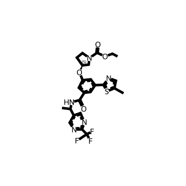 CCOC(=O)N1CC[C@H](Oc2cc(C(=O)NC(C)c3cnc(C(F)(F)F)nc3)cc(-c3ncc(C)s3)c2)C1